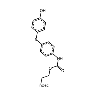 CCCCCCCCCCCCOC(=O)Nc1ccc(Sc2ccc(O)cc2)cc1